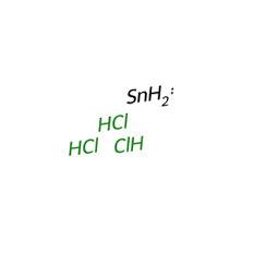 Cl.Cl.Cl.[SnH2]